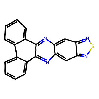 c1ccc2c(c1)c1ccccc1c1nc3cc4nsnc4cc3nc21